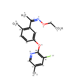 C/C(=N/OCC(=O)O)c1cc(Oc2ncc(C(F)(F)F)cc2F)ccc1[N+](=O)[O-]